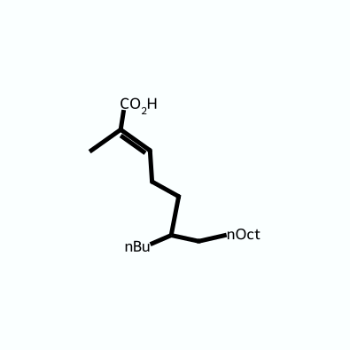 CCCCCCCCCC(CCC=C(C)C(=O)O)CCCC